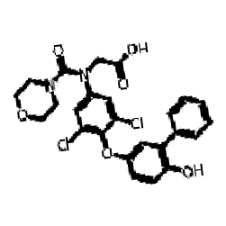 O=C(O)CN(C(=O)N1CCOCC1)c1cc(Cl)c(Oc2ccc(O)c(-c3ccccc3)c2)c(Cl)c1